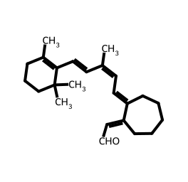 CC(C=CC1=C(C)CCCC1(C)C)=CC=C1CCCCCC1=CC=O